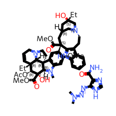 CC[C@]1(O)C[C@@H]2C[N@@](CCc3c([nH]c4ccccc34)[C@@](C(=O)OC)(c3cc4c(cc3OC)N(C)[C@H]3[C@@](O)(C(=O)OC)[C@H](OC(C)=O)[C@]5(CC)C=CCN6CC[C@]43[C@@H]65)C2)C1.CN(C)/N=N/c1[nH]cnc1C(N)=O